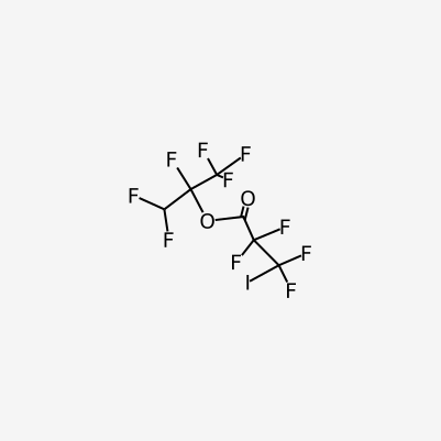 O=C(OC(F)(C(F)F)C(F)(F)F)C(F)(F)C(F)(F)I